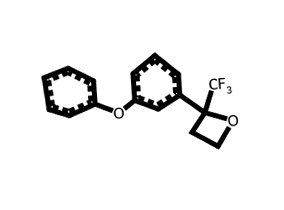 FC(F)(F)C1(c2cccc(Oc3ccccc3)c2)CCO1